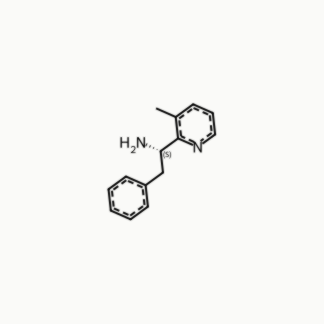 Cc1cccnc1[C@@H](N)Cc1ccccc1